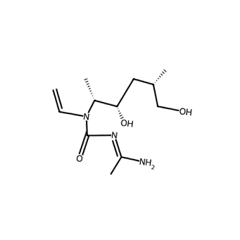 C=CN(C(=O)/N=C(\C)N)[C@H](C)[C@@H](O)C[C@H](C)CO